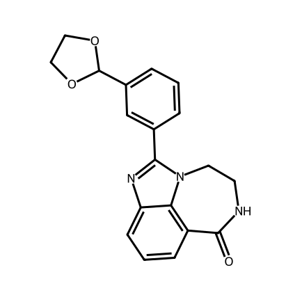 O=C1NCCn2c(-c3cccc(C4OCCO4)c3)nc3cccc1c32